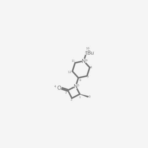 C[C@H]1CC(=O)N1C1CCN(C(C)(C)C)CC1